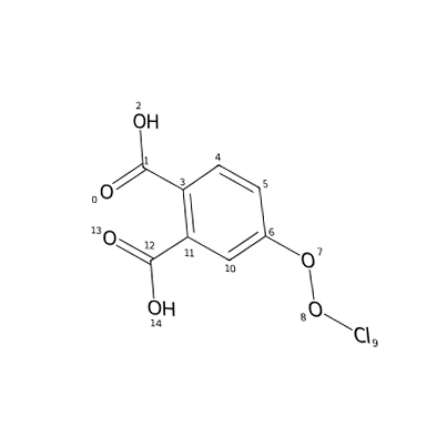 O=C(O)c1ccc(OOCl)cc1C(=O)O